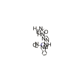 CCC(C)(N)C(=O)Nc1ccnc(C(=N)/C=C(\NCc2ccccc2F)c2ccon2)n1